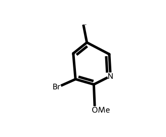 [CH2]c1cnc(OC)c(Br)c1